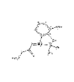 CCOC(=O)CC(=O)C=Cc1cccc(OC)c1O[Si](C)(C)C(C)(C)C